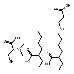 CCCCC(CC)C(=O)O.CCCCC(CC)C(=O)O.O=C(O)CCS.O=C(O)CCS.[CH3][Sn][CH3]